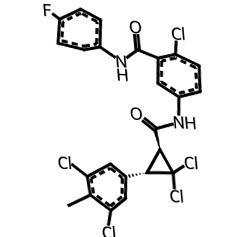 Cc1c(Cl)cc([C@@H]2[C@@H](C(=O)Nc3ccc(Cl)c(C(=O)Nc4ccc(F)cc4)c3)C2(Cl)Cl)cc1Cl